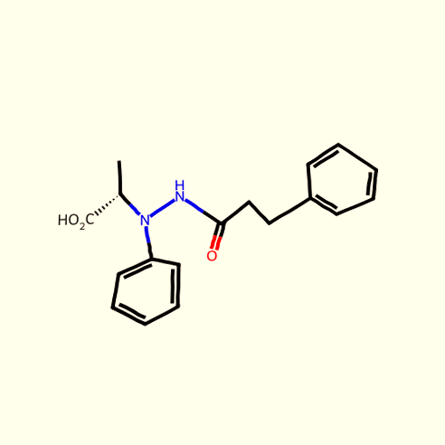 C[C@@H](C(=O)O)N(NC(=O)CCc1ccccc1)c1ccccc1